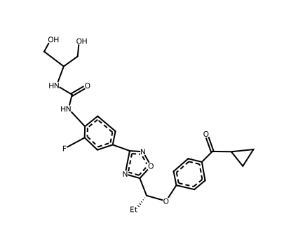 CC[C@@H](Oc1ccc(C(=O)C2CC2)cc1)c1nc(-c2ccc(NC(=O)NC(CO)CO)c(F)c2)no1